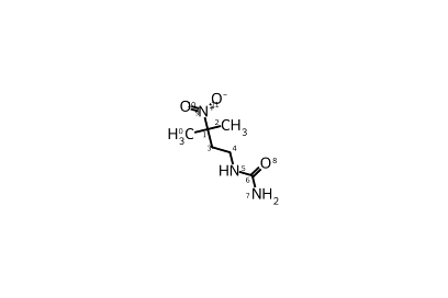 CC(C)(CCNC(N)=O)[N+](=O)[O-]